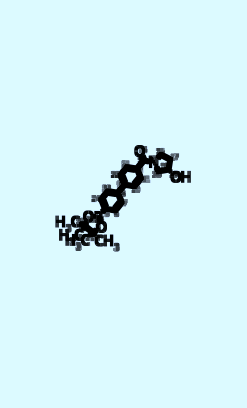 CC1(C)OB(c2ccc(-c3ccc(C(=O)N4CC[C@@H](O)C4)cc3)cc2)OC1(C)C